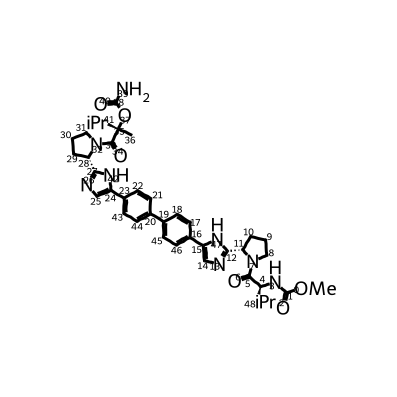 COC(=O)N[C@H](C(=O)N1CCC[C@H]1c1ncc(-c2ccc(-c3ccc(-c4cnc([C@@H]5CCCN5C(=O)[C@@](C)(OC(N)=O)C(C)C)[nH]4)cc3)cc2)[nH]1)C(C)C